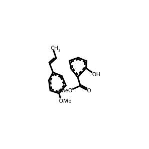 CC=Cc1ccc(OC)cc1.COC(=O)c1ccccc1O